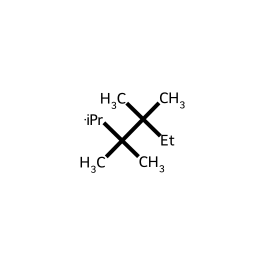 CCC(C)(C)C(C)(C)[C](C)C